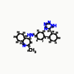 Cc1cc(Nc2ccc(-c3ccccc3-c3nnn[nH]3)cc2)c2ccccc2n1